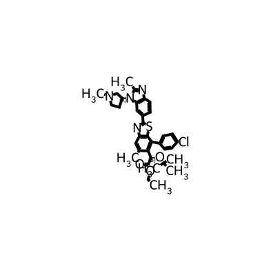 CCOC(=O)[C@@H](OC(C)(C)C)c1c(C)cc2nc(-c3ccc4nc(C)n([C@@H]5CCN(C)C5)c4c3)sc2c1-c1ccc(Cl)cc1